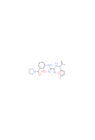 C=C(C)C(Nc1nsnc1Nc1cccc(C(=O)N2CCCC2)c1O)c1ccc(C)o1